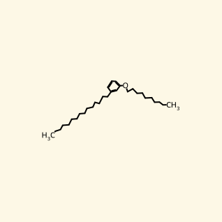 CCCCCCCCCCCCCCCc1cccc(OCCCCCCCCCC)c1